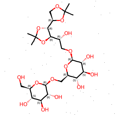 CC1(C)O[C@H]([C@H](O)CO[C@@H]2O[C@H](CO[C@@H]3O[C@H](CO)[C@@H](O)[C@H](O)[C@H]3O)[C@@H](O)[C@H](O)[C@H]2O)[C@@H]([C@H]2COC(C)(C)O2)O1